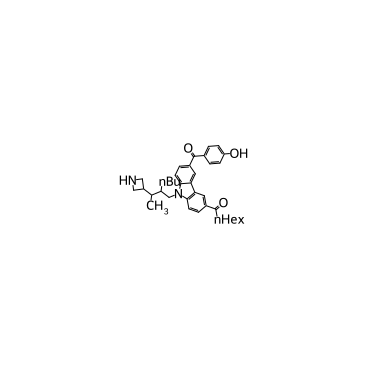 CCCCCCC(=O)c1ccc2c(c1)c1cc(C(=O)c3ccc(O)cc3)ccc1n2CC(CCCC)C(C)C1CNC1